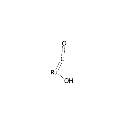 O=[C]=[Ru][OH]